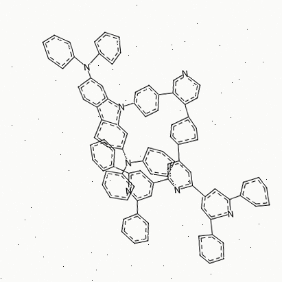 c1ccc(-c2cc(-c3cc(-c4ccc(-c5ccncc5-c5ccc(-n6c7cc(N(c8ccccc8)c8ccccc8)ccc7c7ccc(N(c8ccccc8)c8ccccc8)cc76)cc5)cc4)cc(-c4cc(-c5ccccc5)nc(-c5ccccc5)c4)n3)cc(-c3ccccc3)n2)cc1